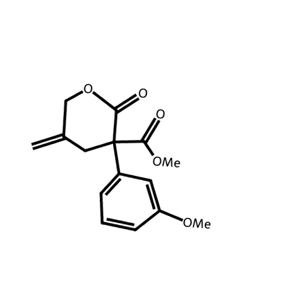 C=C1COC(=O)C(C(=O)OC)(c2cccc(OC)c2)C1